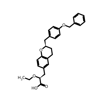 CCO[C@@H](Cc1ccc2c(c1)CC[C@H](Cc1ccc(OCc3ccccc3)cc1)O2)C(=O)O